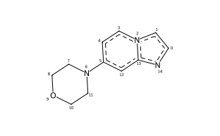 c1cn2ccc(N3CCOCC3)cc2n1